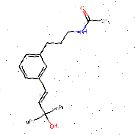 CCCC(O)(/C=C/c1cccc(CCCNC(=O)C(F)(F)F)c1)CCC